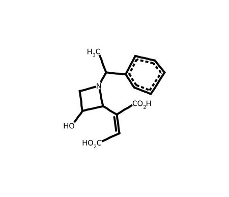 CC(c1ccccc1)N1CC(O)C1/C(=C\C(=O)O)C(=O)O